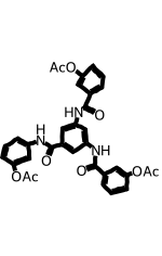 CC(=O)Oc1cccc(NC(=O)c2cc(NC(=O)c3cccc(OC(C)=O)c3)cc(NC(=O)c3cccc(OC(C)=O)c3)c2)c1